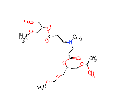 COCOCC(COC(C)O)OC(=O)CCN(C)CCC(=O)OC(CO)COC